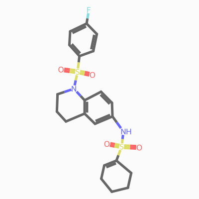 O=S(=O)(Nc1ccc2c(c1)CCCN2S(=O)(=O)c1ccc(F)cc1)C1=CCCCC1